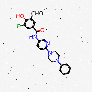 O=Cc1cc(C(=O)Nc2ccc(N3CCN(c4ccccc4)CC3)nc2)cc(F)c1O